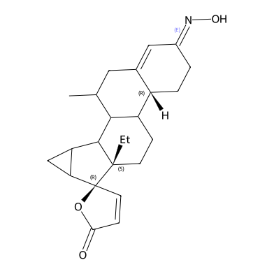 CC[C@]12CCC3C(C(C)CC4=C/C(=N/O)CC[C@@H]43)C1C1CC1[C@@]21C=CC(=O)O1